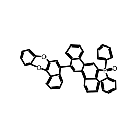 O=P(c1ccccc1)(c1ccccc1)c1cc2c3ccccc3c(-c3cc4c(c5ccccc35)Oc3ccccc3O4)cc2c2ccccc12